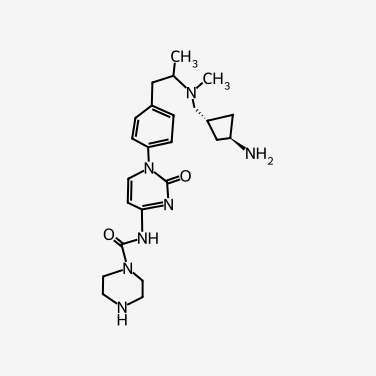 CC(Cc1ccc(-n2ccc(NC(=O)N3CCNCC3)nc2=O)cc1)N(C)C[C@H]1C[C@H](N)C1